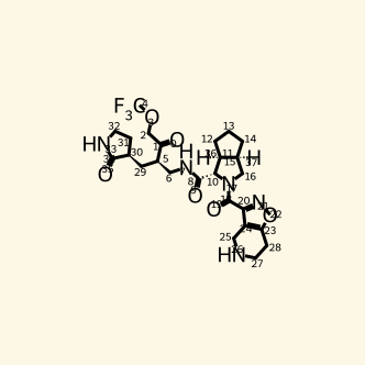 O=C(COC(F)(F)F)[C@@H](CNC(=O)[C@@H]1[C@H]2CCC[C@H]2CN1C(=O)c1noc2c1CNCC2)C[C@@H]1CCNC1=O